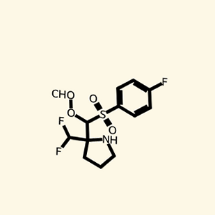 O=COC(C1(C(F)F)CCCN1)S(=O)(=O)c1ccc(F)cc1